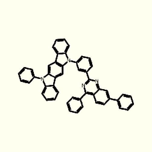 c1ccc(-c2ccc3c(-c4ccccc4)nc(-c4cccc(-n5c6ccccc6c6cc7c(cc65)c5ccccc5n7-c5ccccc5)c4)nc3c2)cc1